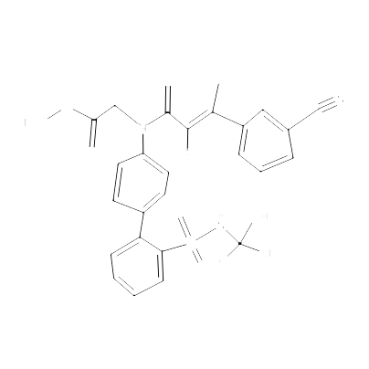 COC(=O)CN(C(=O)C(F)=C(C)c1cccc(C#N)c1)c1ccc(-c2ccccc2S(=O)(=O)NC(C)(C)C)cc1